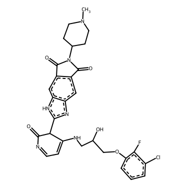 CN1CCC(N2C(=O)c3cc4nc(C5C(=O)N=CC=C5NCC(O)COc5cccc(Cl)c5F)[nH]c4cc3C2=O)CC1